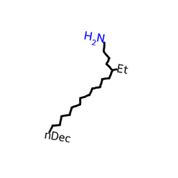 CCCCCCCCCCCCCCCCCCCCCCC(CC)CCCCN